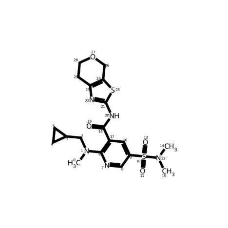 CN(CC1CC1)c1ncc(S(=O)(=O)N(C)C)cc1C(=O)Nc1nc2c(s1)COCC2